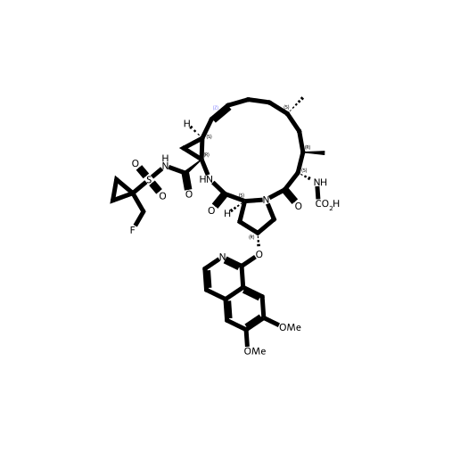 COc1cc2ccnc(O[C@@H]3C[C@H]4C(=O)N[C@]5(C(=O)NS(=O)(=O)C6(CF)CC6)C[C@H]5/C=C\CC[C@H](C)C[C@@H](C)[C@H](NC(=O)O)C(=O)N4C3)c2cc1OC